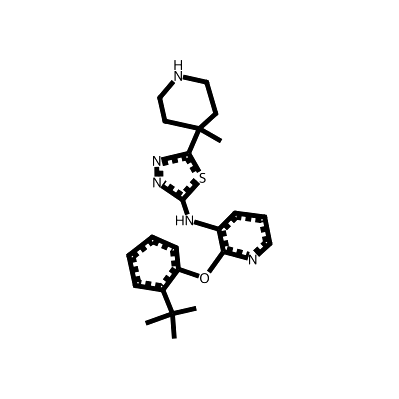 CC(C)(C)c1ccccc1Oc1ncccc1Nc1nnc(C2(C)CCNCC2)s1